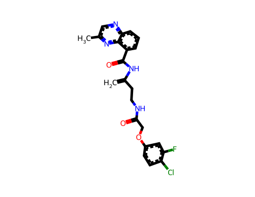 C=C(CCNC(=O)COc1ccc(Cl)c(F)c1)NC(=O)c1cccc2ncc(C)nc12